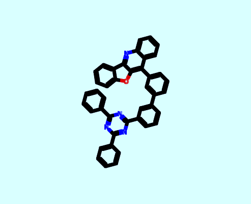 c1ccc(-c2nc(-c3ccccc3)nc(-c3cccc(-c4cccc(-c5c6ccccc6nc6c5oc5ccccc56)c4)c3)n2)cc1